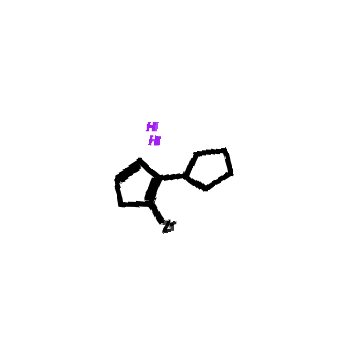 I.I.[Zr][C]1=C(C2CCCC2)C=CC1